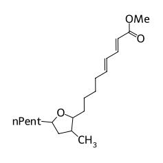 CCCCCC1CC(C)C(CCCC/C=C/C=C/C(=O)OC)O1